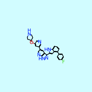 Fc1ccc(-c2cccc3[nH]c(-c4n[nH]c5ncc(-c6cncc(OC7CCNCC7)c6)cc45)cc23)cc1